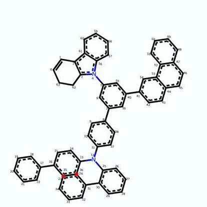 C1=Cc2c(n(-c3cc(-c4ccc(N(c5ccc(-c6ccccc6)cc5)c5ccccc5-c5ccccc5)cc4)cc(-c4ccc5ccc6ccccc6c5c4)c3)c3ccccc23)CC1